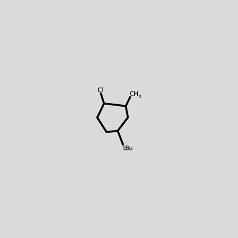 CC1CC(C(C)(C)C)CCC1Cl